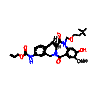 C=CCOC(=O)Nc1ccc2c(c1)CN1C(=O)c3cc(OC)c(O)cc3N(COCC[Si](C)(C)C)C(=O)[C@@H]1C2